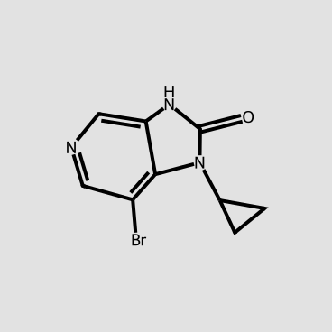 O=c1[nH]c2cncc(Br)c2n1C1CC1